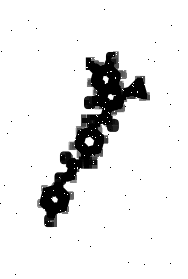 O=C(COc1ccc(Cl)cc1)NC1CCC(NC(=O)c2cn(C3CC3)c3cc(Cl)c(F)cc3c2=O)CC1